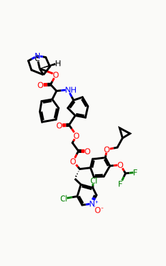 O=C(COC(=O)c1cccc(NC(C(=O)O[C@H]2CN3CCC2CC3)c2ccccc2)c1)O[C@@H](Cc1c(Cl)c[n+]([O-])cc1Cl)c1ccc(OC(F)F)c(OCC2CC2)c1